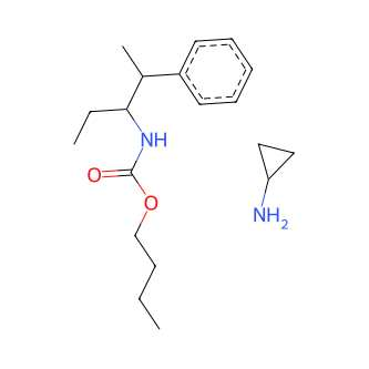 CCCCOC(=O)NC(CC)C(C)c1ccccc1.NC1CC1